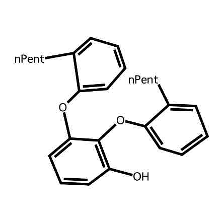 CCCCCc1ccccc1Oc1cccc(O)c1Oc1ccccc1CCCCC